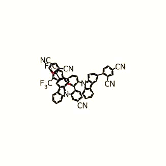 N#Cc1ccc(-c2ccc3c(c2)c2ccccc2n3-c2ccc(-c3cc(C(F)(F)F)cc(C(F)(F)F)c3)cc2-c2ccc(C#N)cc2-n2c3ccccc3c3cc(-c4ccc(C#N)cc4C#N)ccc32)c(C#N)c1